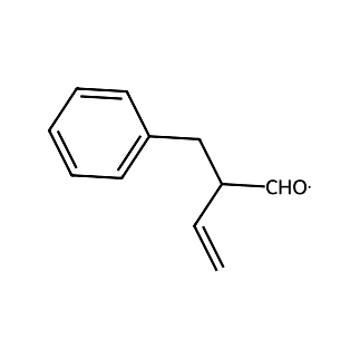 C=CC([C]=O)Cc1ccccc1